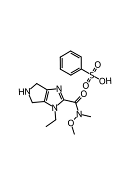 CCn1c(C(=O)N(C)OC)nc2c1CNC2.O=S(=O)(O)c1ccccc1